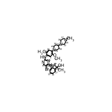 COc1cc(Nc2ncc(Br)c(Nc3ccccc3C(C)(C)O)n2)c(C)cc1N1CCC(N2CCN(C)CC2)CC1